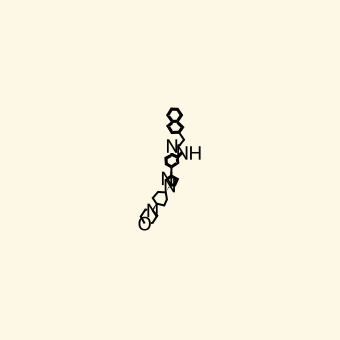 c1ccc2cc(Cc3nc4ccc(-c5ccn([C@H]6CC[C@H](N7CCOCC7)CC6)n5)cc4[nH]3)ccc2c1